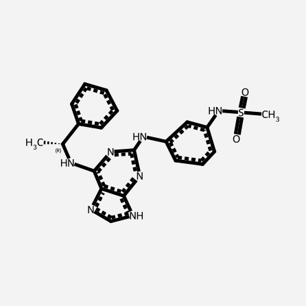 C[C@@H](Nc1nc(Nc2cccc(NS(C)(=O)=O)c2)nc2[nH]cnc12)c1ccccc1